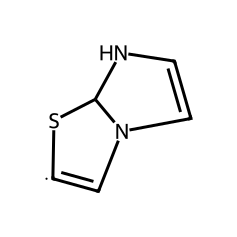 [C]1=CN2C=CNC2S1